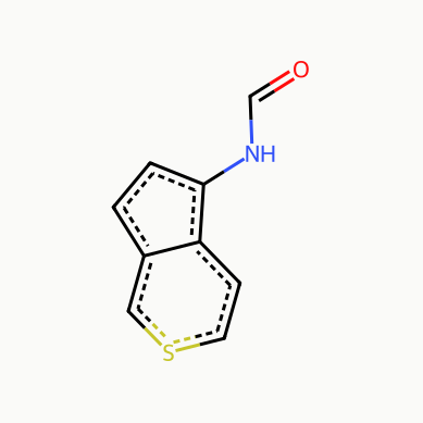 O=CNc1ccc2csccc1-2